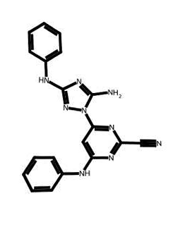 N#Cc1nc(Nc2ccccc2)cc(-n2nc(Nc3ccccc3)nc2N)n1